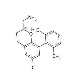 Cc1cccc(C)c1-c1cc(Cl)cc2c1O[C@@H](CN)CC2